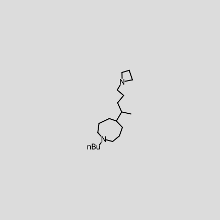 CCCCN1CCCC(C(C)CCCN2CCC2)CCC1